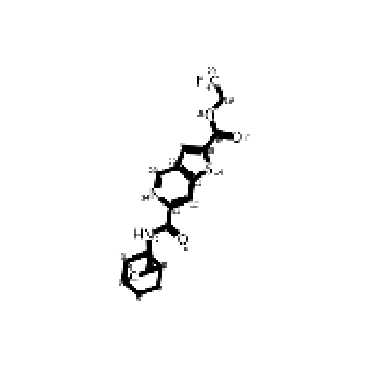 O=C(NC1CC2CCC1CC2)c1cc2sc(C(=O)OCC(F)(F)F)cc2cn1